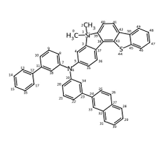 C[Si]1(C)c2cc(N(c3cccc(-c4ccccc4)c3)c3cccc(-c4ccc5ccccc5c4)c3)ccc2-c2c1ccc1c2sc2ccccc21